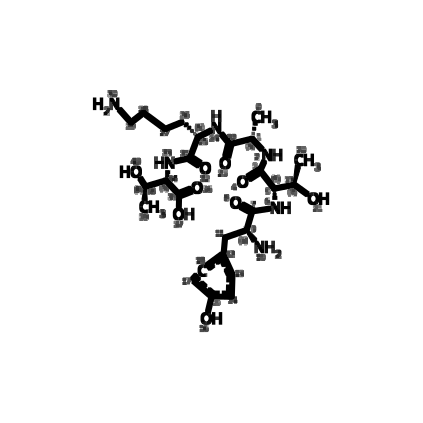 C[C@H](NC(=O)[C@@H](NC(=O)[C@@H](N)Cc1ccc(O)cc1)[C@@H](C)O)C(=O)N[C@@H](CCCCN)C(=O)N[C@H](C(=O)O)[C@@H](C)O